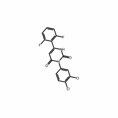 O=c1cc(-c2c(F)cccc2F)[nH]c(=O)n1-c1ccc(Cl)c(Cl)c1